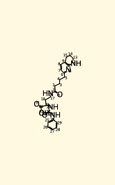 O=C(CCCCc1ccc2c(n1)NCCC2)NCCC(NC(=O)Nc1ccccc1)C(=O)O